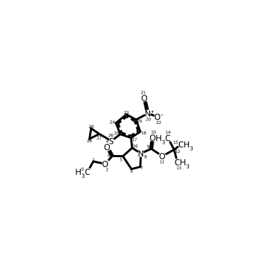 CCOC(=O)C1CCN(C(=O)OC(C)(C)C)C1c1cc([N+](=O)[O-])ccc1SC1CC1